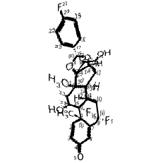 C[C@]12C=CC(=O)C=C1[C@@H](F)C[C@H]1[C@@H]3C[C@H]4O[C@@H](c5ccc(F)cc5)O[C@@]4(C(=O)CO)[C@@]3(C)C[C@H](O)[C@@]12F